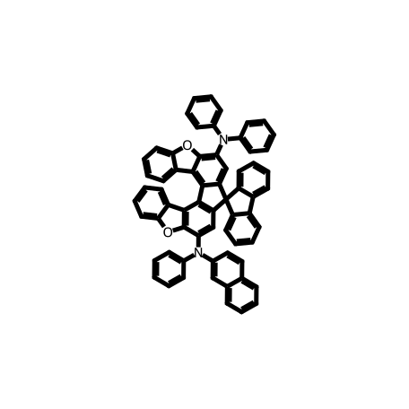 c1ccc(N(c2ccccc2)c2cc3c(c4c2oc2ccccc24)-c2c(cc(N(c4ccccc4)c4ccc5ccccc5c4)c4oc5ccccc5c24)C32c3ccccc3-c3ccccc32)cc1